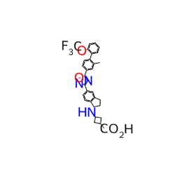 Cc1cc(-c2nc(-c3ccc4c(c3)CCC4NC3CC(C(=O)O)C3)no2)ccc1-c1ccccc1OC(F)(F)F